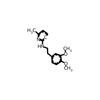 COc1ccc(CCNc2cccc(C)n2)cc1OC